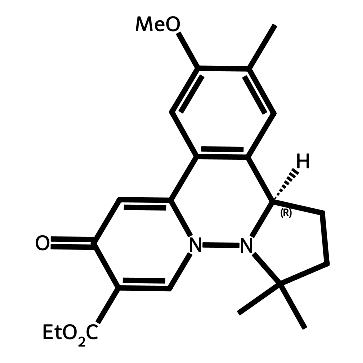 CCOC(=O)c1cn2c(cc1=O)-c1cc(OC)c(C)cc1[C@H]1CCC(C)(C)N12